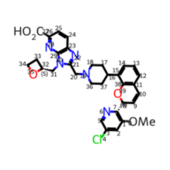 COc1cc(Cl)cnc1[C@H]1C=Cc2cccc(C3CCN(Cc4nc5ccc(C(=O)O)nc5n4C[C@@H]4CCO4)CC3)c2O1